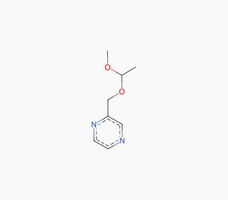 COC(C)OCc1cnccn1